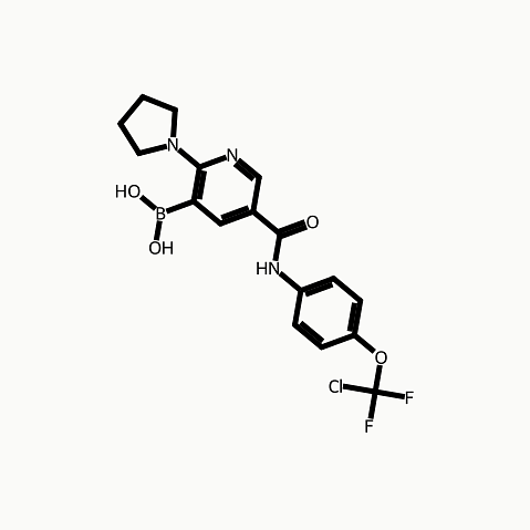 O=C(Nc1ccc(OC(F)(F)Cl)cc1)c1cnc(N2CCCC2)c(B(O)O)c1